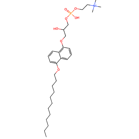 CCCCCCCCCCCCOc1cccc2c(OCC(O)COP(=O)(O)OCC[N+](C)(C)C)cccc12